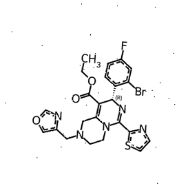 CCOC(=O)C1=C2CN(Cc3cocn3)CCN2C(c2nccs2)=N[C@H]1c1ccc(F)cc1Br